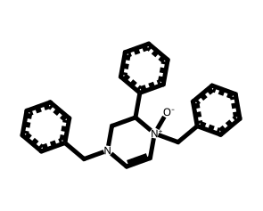 [O-][N+]1(Cc2ccccc2)C=CN(Cc2ccccc2)CC1c1ccccc1